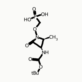 C[C@H]1[C@H](NC(=O)OC(C)(C)C)C(=O)N1OCP(=O)(O)O